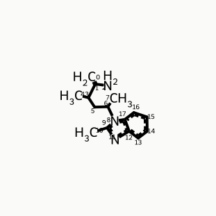 C=C(N)C(C)CC(C)n1c(C)nc2ccccc21